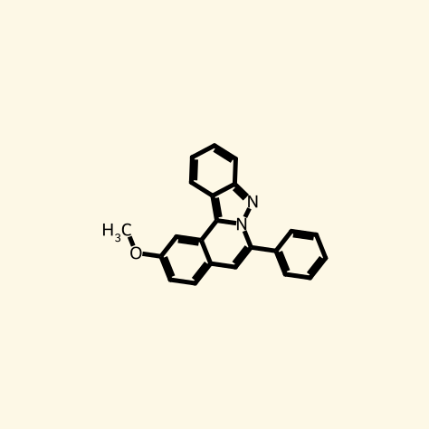 COc1ccc2cc(-c3ccccc3)n3nc4ccccc4c3c2c1